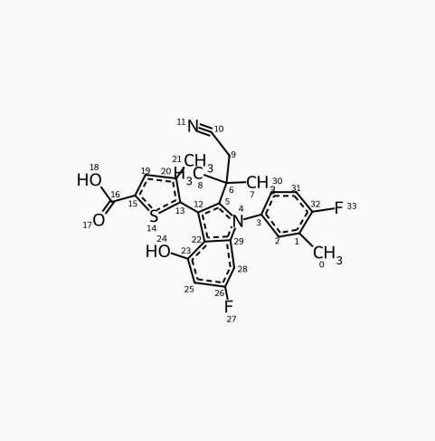 Cc1cc(-n2c(C(C)(C)CC#N)c(-c3sc(C(=O)O)cc3C)c3c(O)cc(F)cc32)ccc1F